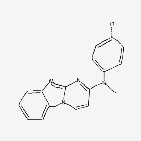 CN(c1ccc(Cl)cc1)c1ccn2c(n1)nc1ccccc12